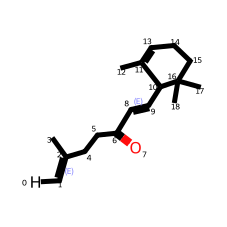 [H]/C=C(\C)CCC(=O)/C=C/C1C(C)=CCCC1(C)C